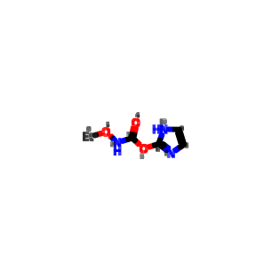 CCONC(=O)Oc1ncc[nH]1